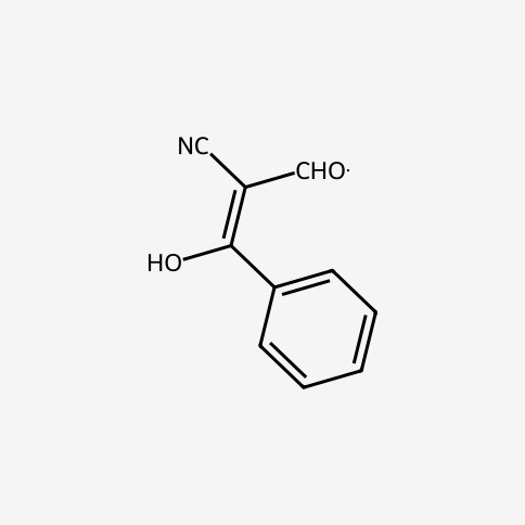 N#CC([C]=O)=C(O)c1ccccc1